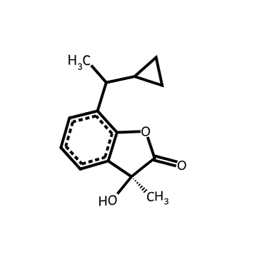 CC(c1cccc2c1OC(=O)[C@@]2(C)O)C1CC1